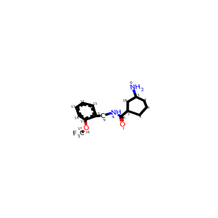 NC1CCCC(C(=O)NCc2ccccc2OC(F)(F)F)C1